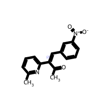 CC(=O)/C(=C\c1cccc([N+](=O)[O-])c1)c1cccc(C)n1